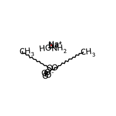 CCCCCCCCCCCCCCCCOCC(COP(=O)([O-])[O-])OCCCCCCCCCCCCCCCC.NCCO.[Na+].[Na+]